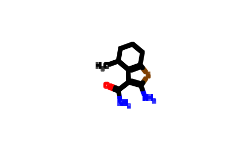 CC1CCCc2sc(N)c(C(N)=O)c21